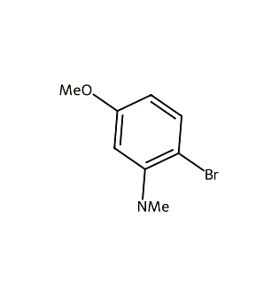 CNc1cc(OC)ccc1Br